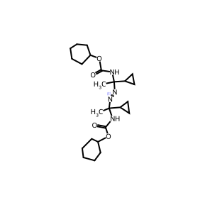 CC(/N=N/C(C)(NC(=O)OC1CCCCC1)C1CC1)(NC(=O)OC1CCCCC1)C1CC1